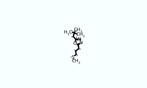 CSCCCc1nnc(CC(C)(C)C)o1